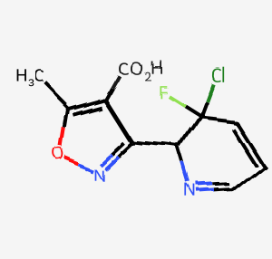 Cc1onc(C2N=CC=CC2(F)Cl)c1C(=O)O